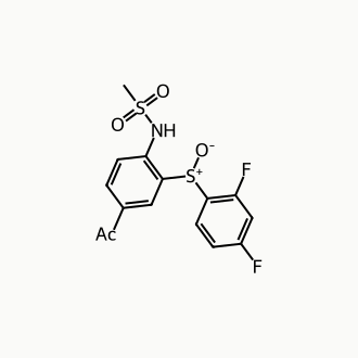 CC(=O)c1ccc(NS(C)(=O)=O)c([S+]([O-])c2ccc(F)cc2F)c1